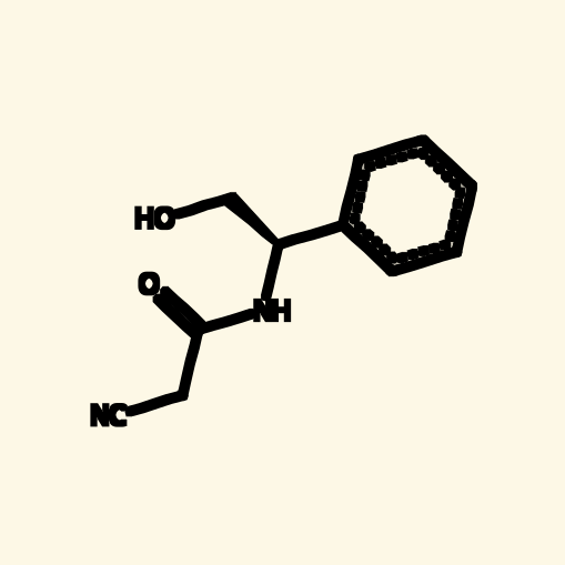 N#CCC(=O)N[C@@H](CO)c1ccccc1